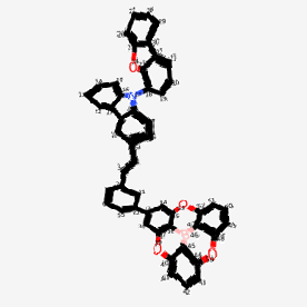 c1cc(CCc2ccc3c(c2)c2ccccc2n3-c2cccc3c2oc2ccccc23)cc(-c2cc3c4c(c2)Oc2cccc5c2B4c2c(cccc2O3)O5)c1